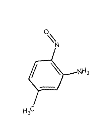 Cc1ccc(N=O)c(N)c1